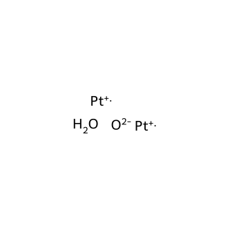 O.[O-2].[Pt+].[Pt+]